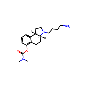 CN(C)C(=O)Oc1cccc2c1CC[C@@H]1[C@H]2CCN1CCCCN